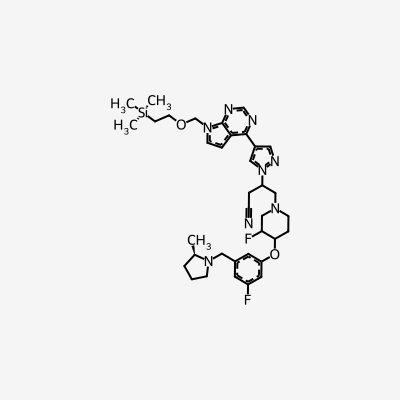 C[C@@H]1CCCN1Cc1cc(F)cc(OC2CCN(CC(CC#N)n3cc(-c4ncnc5c4ccn5COCC[Si](C)(C)C)cn3)CC2F)c1